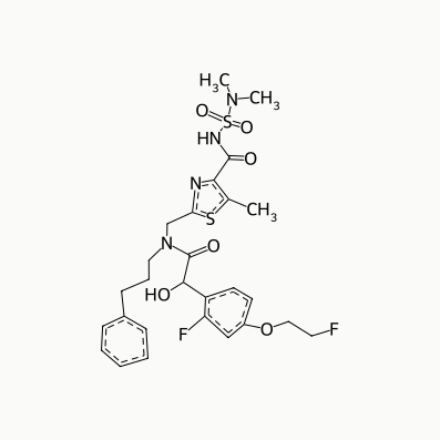 Cc1sc(CN(CCCc2ccccc2)C(=O)C(O)c2ccc(OCCF)cc2F)nc1C(=O)NS(=O)(=O)N(C)C